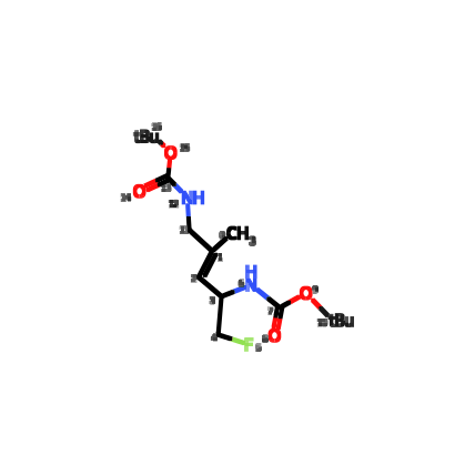 C/C(=C\C(CF)NC(=O)OC(C)(C)C)CNC(=O)OC(C)(C)C